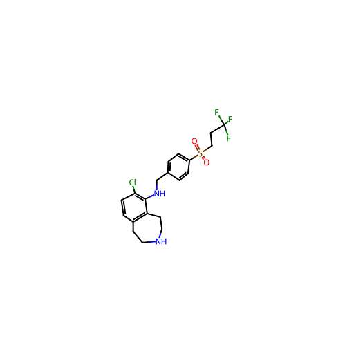 O=S(=O)(CCC(F)(F)F)c1ccc(CNc2c(Cl)ccc3c2CCNCC3)cc1